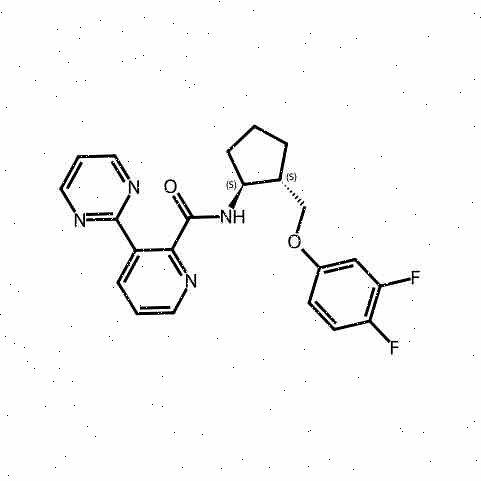 O=C(N[C@H]1CCC[C@@H]1COc1ccc(F)c(F)c1)c1ncccc1-c1ncccn1